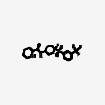 O=C(NC1CCC(F)(S(=O)(=O)c2cccc(C(F)(F)F)c2)CC1)C1CCCCN1